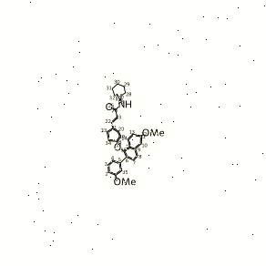 COc1cccc(-c2ccc3cc(OC)ccc3c2Oc2ccc(C=CC(=O)NN3CCCCC3)cc2)c1